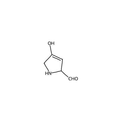 O=CC1C=C(O)CN1